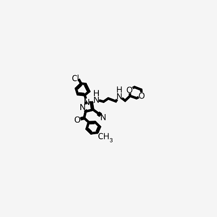 Cc1ccc(C(=O)c2nn(-c3ccc(Cl)cc3)c(NCCCNCC3COCCO3)c2C#N)cc1